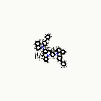 CC1(C)c2ccccc2N2c3ccc(N(c4ccc(-c5ccccc5)cc4)c4cccc5ccccc45)cc3C(C)(C)c3cc(N(c4ccc(C5=CC=CCC5)cc4)c4cccc5ccccc45)cc1c32